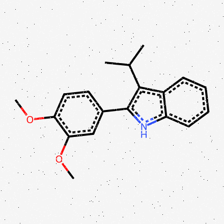 COc1ccc(-c2[nH]c3ccccc3c2C(C)C)cc1OC